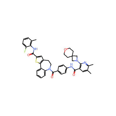 Cc1cc(C(=O)Nc2ccc(C(=O)N3CCc4cc(C(=O)Nc5c(C)cccc5F)sc4-c4ccccc43)cc2)c(N2CC3(CCOCC3)C2)nc1C